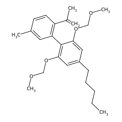 C=C(C)c1ccc(C)cc1-c1c(OCOC)cc(CCCCC)cc1OCOC